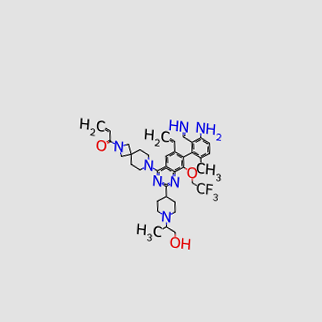 C=CC(=O)N1CC2(CCN(c3nc(C4CCN(C(C)CO)CC4)nc4c(OCC(F)(F)F)c(-c5c(C)ccc(N)c5C=N)c(C=C)cc34)CC2)C1